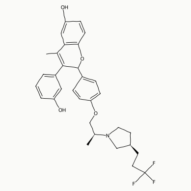 CC1=C(c2cccc(O)c2)C(c2ccc(OC[C@H](C)N3CC[C@@H](CCC(F)(F)F)C3)cc2)Oc2ccc(O)cc21